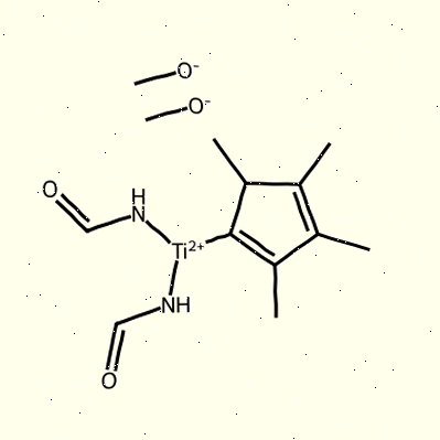 CC1=C(C)C(C)[C]([Ti+2]([NH]C=O)[NH]C=O)=C1C.C[O-].C[O-]